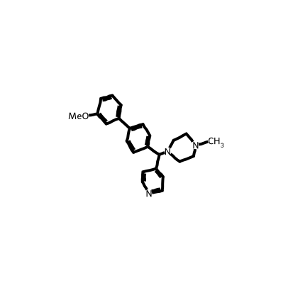 COc1cccc(-c2ccc(C(c3ccncc3)N3CCN(C)CC3)cc2)c1